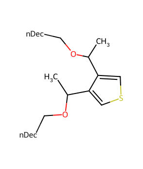 CCCCCCCCCCCOC(C)c1cscc1C(C)OCCCCCCCCCCC